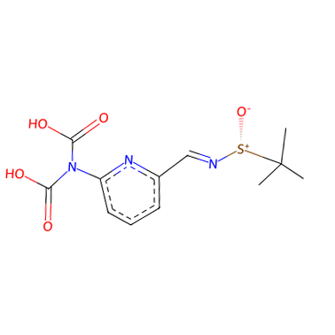 CC(C)(C)[S@@+]([O-])N=Cc1cccc(N(C(=O)O)C(=O)O)n1